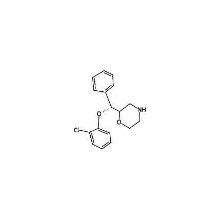 Clc1ccccc1O[C@H](c1ccccc1)C1CNCCO1